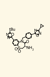 CC(C)(C)c1nnc(-c2ccc3c(c2)N(Cc2ccc(-c4nc(C5CC5)no4)cc2)C(=O)[C@@H](N)CS3(=O)=O)o1